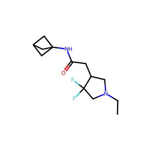 CCN1CC(CC(=O)NC23CC(C2)C3)C(F)(F)C1